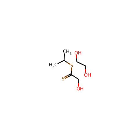 CC(C)SC(=S)CO.OCCO